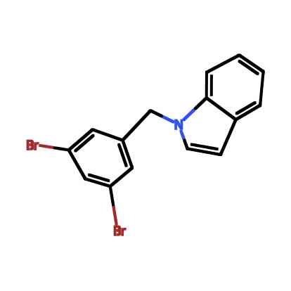 Brc1cc(Br)cc(Cn2ccc3ccccc32)c1